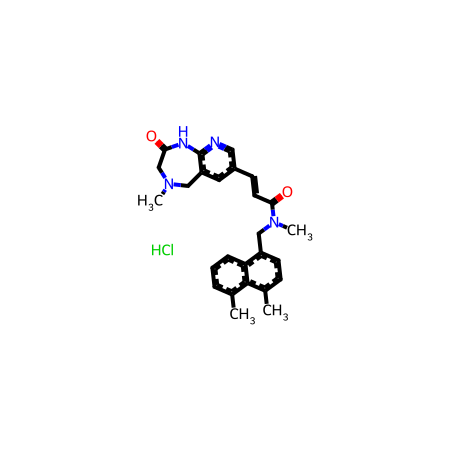 Cc1cccc2c(CN(C)C(=O)C=Cc3cnc4c(c3)CN(C)CC(=O)N4)ccc(C)c12.Cl